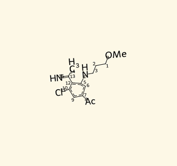 COCCCNc1cc(C(C)=O)cc(Cl)c1C(C)=N